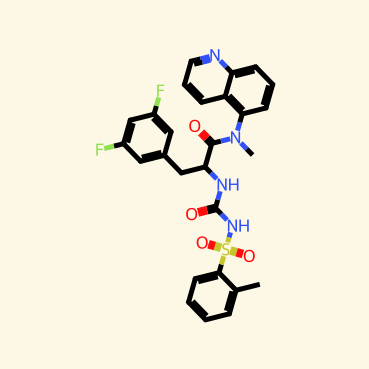 Cc1ccccc1S(=O)(=O)NC(=O)NC(Cc1cc(F)cc(F)c1)C(=O)N(C)c1cccc2ncccc12